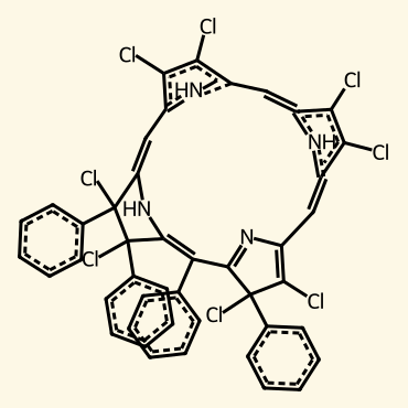 ClC1=C2/C=c3\[nH]/c(c(Cl)c3Cl)=C\c3[nH]c(c(Cl)c3Cl)/C=C3\N/C(=C(/c4ccccc4)C(=N2)C1(Cl)c1ccccc1)C(Cl)(c1ccccc1)C3(Cl)c1ccccc1